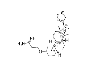 C[C@]12CC(OCCC(=N)N)CC[C@H]1CC[C@H]1[C@H]3CC[C@H](c4ccoc4)[C@@]3(C)CC[C@@H]12